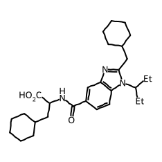 CCC(CC)n1c(CC2CCCCC2)nc2cc(C(=O)NC(CC3CCCCC3)C(=O)O)ccc21